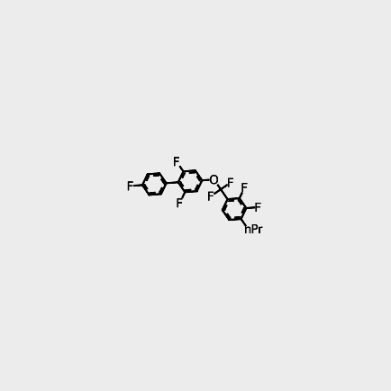 CCCc1ccc(C(F)(F)Oc2cc(F)c(-c3ccc(F)cc3)c(F)c2)c(F)c1F